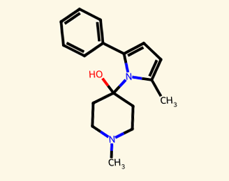 Cc1ccc(-c2ccccc2)n1C1(O)CCN(C)CC1